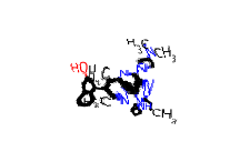 CCCc1nc2c(N3CC(N(C)C)C3)nc3c(C)c(-c4cc(O)cc5ccccc45)c(C)nc3c2n1C1C2CNC1C2